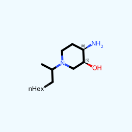 CCCCCCCC(C)N1CC[C@@H](N)[C@@H](O)C1